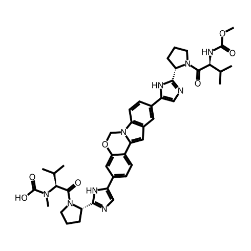 COC(=O)N[C@H](C(=O)N1CCC[C@H]1c1ncc(-c2ccc3c(c2)cc2n3COc3cc(-c4cnc([C@@H]5CCCN5C(=O)[C@H](C(C)C)N(C)C(=O)O)[nH]4)ccc3-2)[nH]1)C(C)C